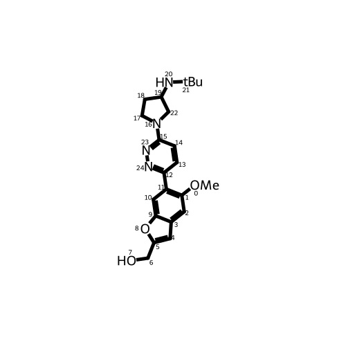 COc1cc2cc(CO)oc2cc1-c1ccc(N2CCC(NC(C)(C)C)C2)nn1